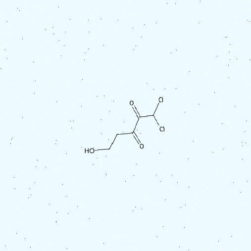 O=C(CCO)C(=O)C(Cl)Cl